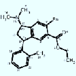 CCOC(=O)c1cc2c(cc1F)[C@H](N(C)C)C[C@@H]2c1ccccc1C